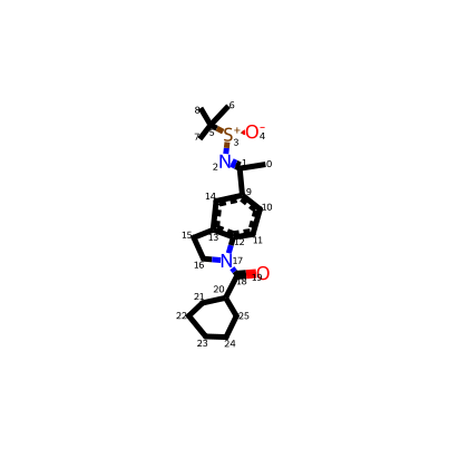 CC(=N[S@+]([O-])C(C)(C)C)c1ccc2c(c1)CCN2C(=O)C1CCCCC1